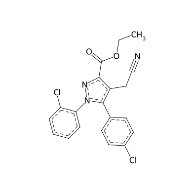 CCOC(=O)c1nn(-c2ccccc2Cl)c(-c2ccc(Cl)cc2)c1CC#N